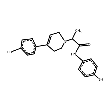 CC(C(=O)Nc1ccc(S)cc1)N1CC=C(c2ccc(O)cc2)CC1